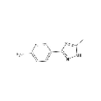 Cc1[c]c(-c2ccc(C(F)(F)F)cc2)n[nH]1